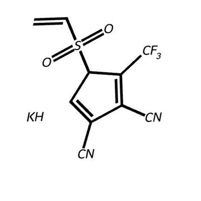 C=CS(=O)(=O)C1C=C(C#N)C(C#N)=C1C(F)(F)F.[KH]